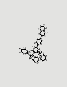 O=P1(c2ccccc2)c2cc(-c3ccc(-c4ccc5ccccc5c4)cc3)ccc2-n2c(-c3ccccc3)nc3cccc1c32